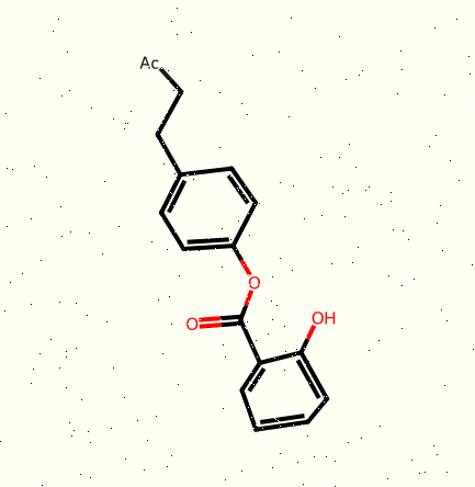 CC(=O)CCc1ccc(OC(=O)c2ccccc2O)cc1